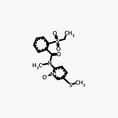 CCS(=O)(=O)c1ccccc1C(=O)N(C)c1ccc(SC)c[n+]1[O-]